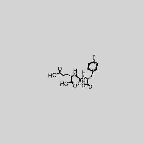 O=C(O)CC[C@H](NC(=O)N[C@@H](Cc1ccc(F)cc1)C(=O)O)C(=O)O